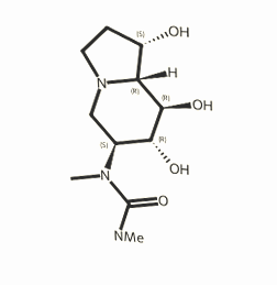 CNC(=O)N(C)[C@H]1CN2CC[C@H](O)[C@@H]2[C@@H](O)[C@@H]1O